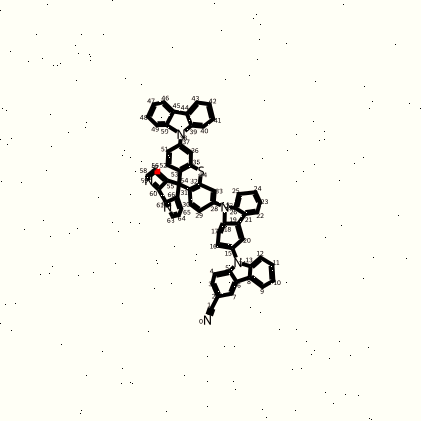 N#Cc1ccc2c(c1)c1ccccc1n2-c1ccc2c(c1)c1ccccc1n2-c1ccc2c(c1)Sc1cc(-n3c4ccccc4c4ccccc43)ccc1C21c2cccnc2-c2ncccc21